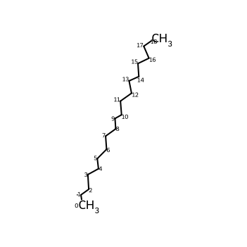 C[CH]CCCCCCCCCCCCCCCCC